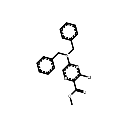 COC(=O)c1ncc(N(Cc2ccccc2)Cc2ccccc2)nc1Cl